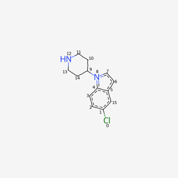 Clc1ccc2c(ccn2C2CCNCC2)c1